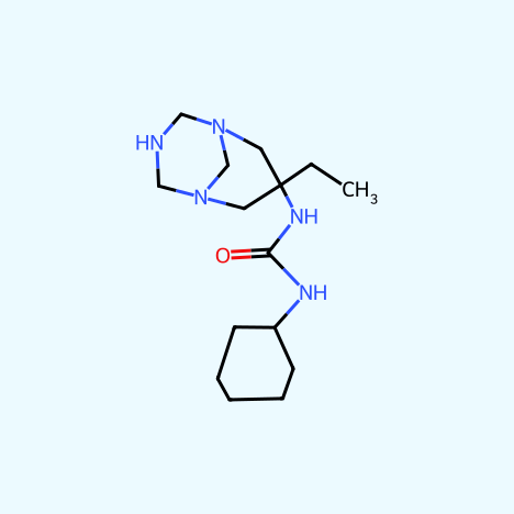 CCC1(NC(=O)NC2CCCCC2)CN2CNCN(C2)C1